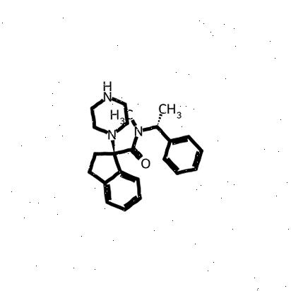 C[C@H](c1ccccc1)N(C)C(=O)[C@@]1(N2CCNCC2)CCc2ccccc21